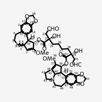 COC1=C[C@]23CCCN2CCc2cc4c(cc2[C@@H]3[C@@H]1OC(=O)[C@](O)(CC=O)CCCC[C@@](O)(CC=O)C(=O)O[C@@H]1C(OC)=C[C@]23CCCN2CCc2cc5c(cc2[C@H]13)OCO5)OCO4